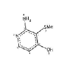 CSc1c(O)ccnc1N